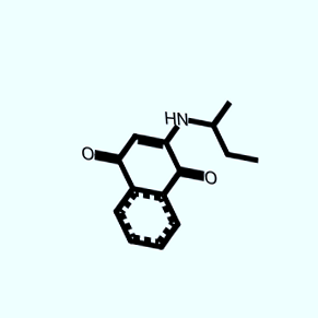 CCC(C)NC1=CC(=O)c2ccccc2C1=O